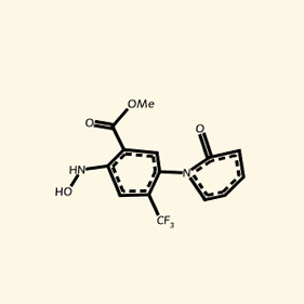 COC(=O)c1cc(-n2ccccc2=O)c(C(F)(F)F)cc1NO